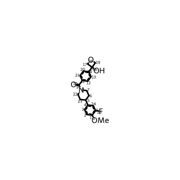 COc1ccc(C2CCN(C(=O)c3ccc(C4(O)COC4)cc3)CC2)cc1F